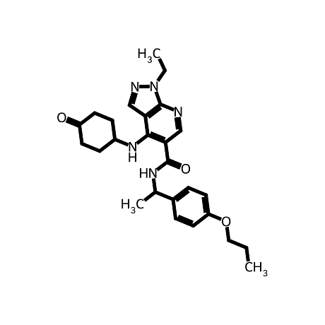 CCCOc1ccc(C(C)NC(=O)c2cnc3c(cnn3CC)c2NC2CCC(=O)CC2)cc1